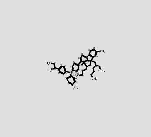 CCCCC(CC)CC1(CC(CC)CCCC)c2cc(C)ccc2-c2ccc(-c3ccc(N(c4ccc(C)cc4)c4ccc(C(C)CC)cc4)cc3)cc21